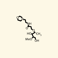 COC(CO)C(O)[C@@H](C)OCCC(=O)NCCN1CCOCC1